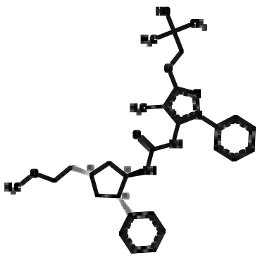 COCC[C@@H]1C[C@@H](NC(=O)Nc2c(C)c(OCC(C)(C)O)nn2-c2ccccc2)[C@H](c2ccccc2)C1